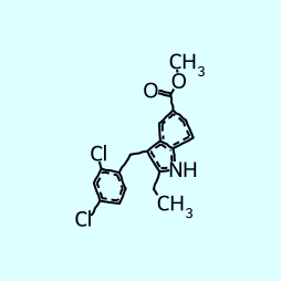 CCc1[nH]c2ccc(C(=O)OC)cc2c1Cc1ccc(Cl)cc1Cl